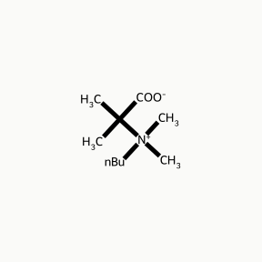 CCCC[N+](C)(C)C(C)(C)C(=O)[O-]